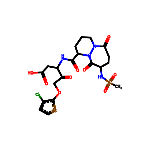 CS(=O)(=O)NC1CCC(=O)N2CCCC(C(=O)NC(CC(=O)O)C(=O)COc3sccc3Cl)N2C1=O